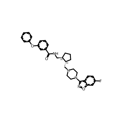 O=C(NC[C@H]1CCC[C@@H]1CN1CCN(c2noc3cc(F)ccc23)CC1)c1cccc(Oc2ccccc2)c1